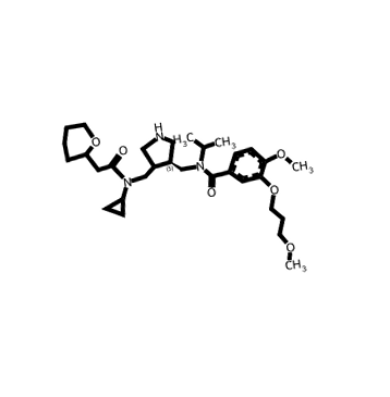 COCCCOc1cc(C(=O)N(C[C@@H]2CNCC2CN(C(=O)CC2CCCCO2)C2CC2)C(C)C)ccc1OC